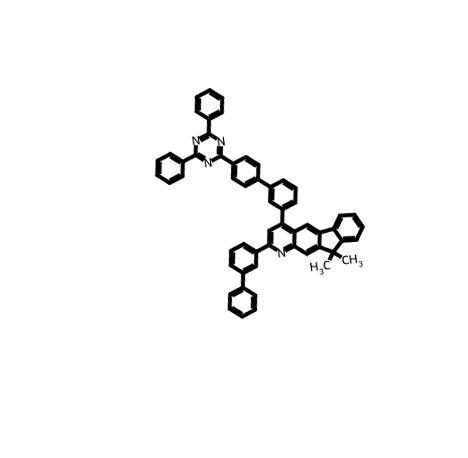 CC1(C)c2ccccc2-c2cc3c(-c4cccc(-c5ccc(-c6nc(-c7ccccc7)nc(-c7ccccc7)n6)cc5)c4)cc(-c4cccc(-c5ccccc5)c4)nc3cc21